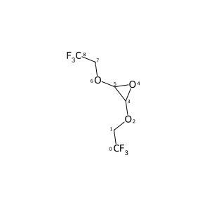 FC(F)(F)COC1OC1OCC(F)(F)F